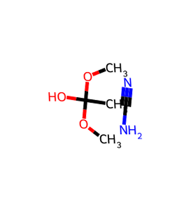 COC(C)(O)OC.N#CN